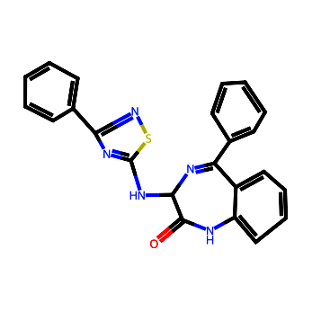 O=C1Nc2ccccc2C(c2ccccc2)=NC1Nc1nc(-c2ccccc2)ns1